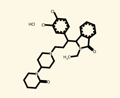 CCN1C(=O)c2ccccc2C1C(CCN1CCC(N2CCCCC2=O)CC1)c1ccc(Cl)c(Cl)c1.Cl